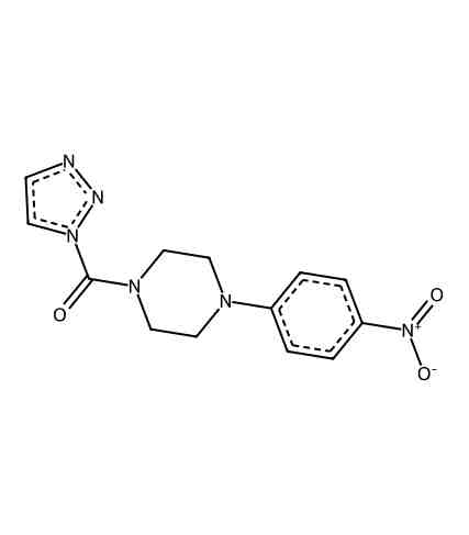 O=C(N1CCN(c2ccc([N+](=O)[O-])cc2)CC1)n1ccnn1